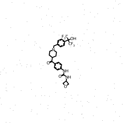 O=C(Nc1ccc(C(=O)C2CCN(Cc3ccc(C(O)(C(F)(F)F)C(F)(F)F)cc3)CC2)cc1)NC1COC1